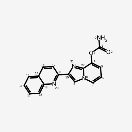 NC(=O)Oc1cccn2cc(-c3ccc4ccccc4n3)nc12